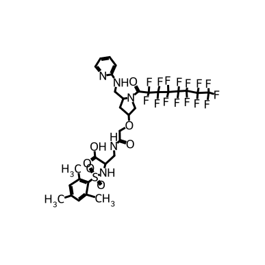 Cc1cc(C)c(S(=O)(=O)NC(CNC(=O)COC2CC(CNc3ccccn3)N(C(=O)C(F)(F)C(F)(F)C(F)(F)C(F)(F)C(F)(F)C(F)(F)C(F)(F)F)C2)C(=O)O)c(C)c1